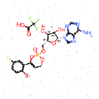 C[C@@]1(O)[C@H](O)[C@@H](COP2(=O)OCC=C(c3cc(F)ccc3Br)O2)O[C@H]1n1cnc2c(N)ncnc21.O=C(O)C(F)(F)F